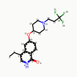 CCc1c[nH]c(=O)c2ccc(OC3CCN(CCC(F)(F)F)CC3)cc12